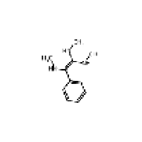 CNC(NC)=C(NC)c1ccccc1